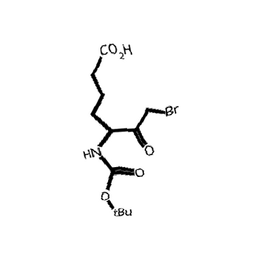 CC(C)(C)OC(=O)NC(CCCC(=O)O)C(=O)CBr